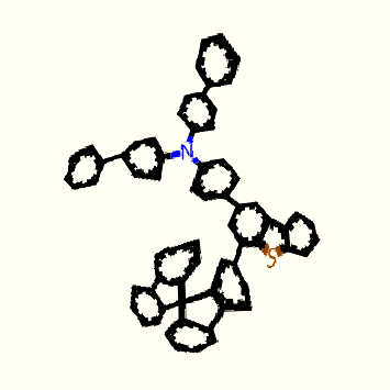 c1ccc(-c2ccc(N(c3ccc(-c4ccccc4)cc3)c3ccc(-c4cc(-c5ccc6c(c5)C5(c7ccccc7-c7ccccc75)c5ccccc5-6)c5sc6ccccc6c5c4)cc3)cc2)cc1